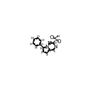 CS(=O)(=O)c1ncc2ccc(-c3ccccc3)n2n1